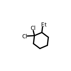 [CH2]CC1CCCCC1(Cl)Cl